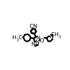 CC1CCCC(c2c(-c3ccc(C#N)cc3)nc(OCC3CCCN(C)C3)n3ccnc23)CCC1